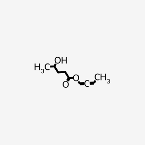 CC=C=COC(=O)CCC(C)O